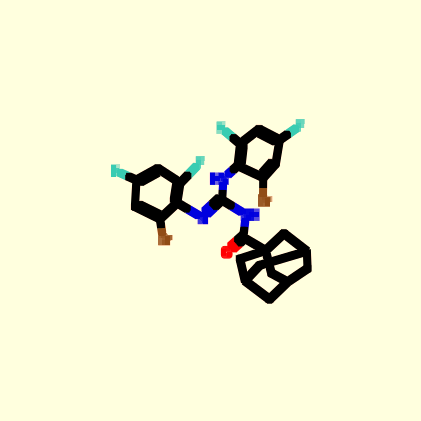 O=C(NC(=Nc1c(F)cc(F)cc1Br)Nc1c(F)cc(F)cc1Br)C12CC3CC(CC(C3)C1)C2